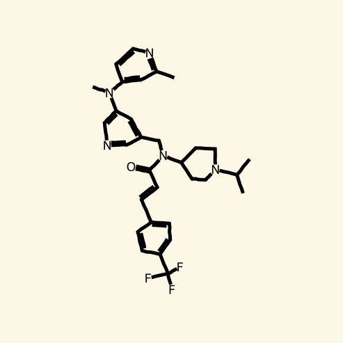 Cc1cc(N(C)c2cncc(CN(C(=O)C=Cc3ccc(C(F)(F)F)cc3)C3CCN(C(C)C)CC3)c2)ccn1